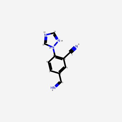 N#Cc1cc(C=N)ccc1-n1cncn1